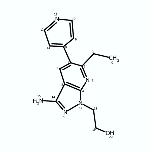 CCc1nc2c(cc1-c1ccncc1)c(N)nn2CCO